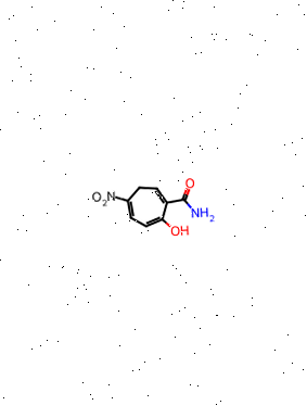 NC(=O)C1=CCC([N+](=O)[O-])=CC=C1O